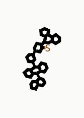 c1cc(-c2ccc3c(c2)sc2c4ccccc4c4ccccc4c32)cc(-c2c3ccccc3c(-c3cccc4ccccc34)c3ccccc23)c1